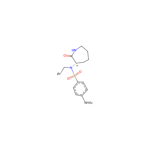 CC(=O)Nc1ccc(S(=O)(=O)N(CC(C)C)[C@H]2CCCCNC2=O)cc1